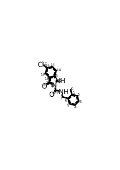 Cc1ccccc1CNC(=O)n1[nH]c2ccc(Cl)cc2c1=O